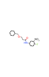 O=C(CCOCc1ccccc1)Nc1ccc(F)c([N+](=O)[O-])c1